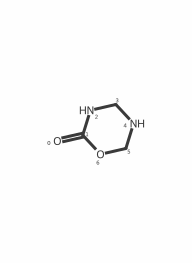 O=C1NCNCO1